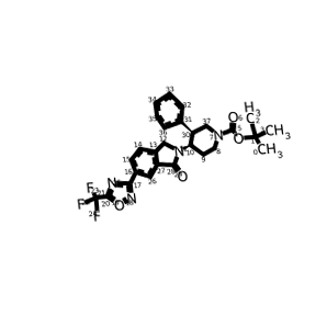 CC(C)(C)OC(=O)N1CC[C@@H](N2Cc3ccc(-c4noc(C(F)(F)F)n4)cc3C2=O)[C@@H](c2ccccc2)C1